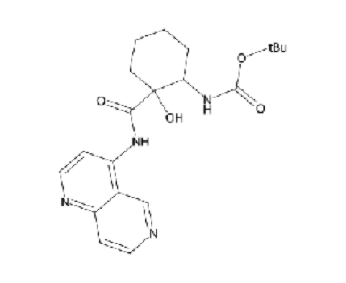 CC(C)(C)OC(=O)NC1CCCCC1(O)C(=O)Nc1ccnc2ccncc12